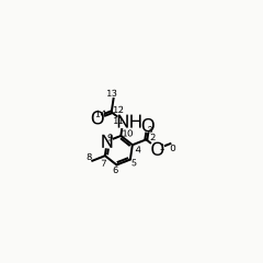 COC(=O)c1ccc(C)nc1NC(C)=O